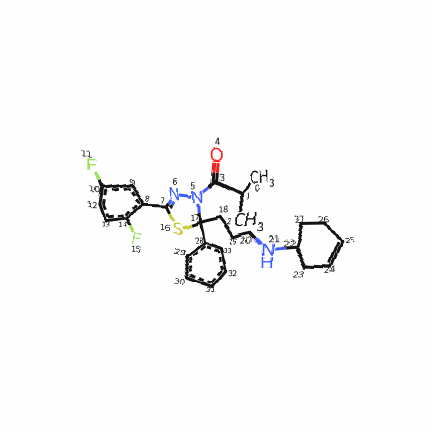 CC(C)C(=O)N1N=C(c2cc(F)ccc2F)SC1(CCCNC1CC=CCC1)c1ccccc1